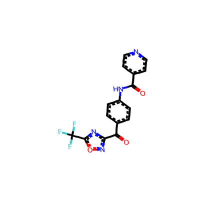 O=C(Nc1ccc(C(=O)c2noc(C(F)(F)F)n2)cc1)c1ccncc1